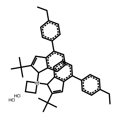 CCc1ccc(-c2cccc3c2C=C(C(C)(C)C)[CH]3[Hf]2([CH]3C(C(C)(C)C)=Cc4c(-c5ccc(CC)cc5)cccc43)[CH2]C[CH2]2)cc1.Cl.Cl